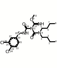 CCCCN(CCCC)C(=O)N(C(=N)OC)C(=O)NSc1ccc(Cl)c(Cl)c1